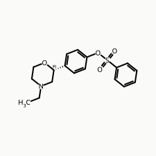 CCN1CCO[C@H](c2ccc(OS(=O)(=O)c3ccccc3)cc2)C1